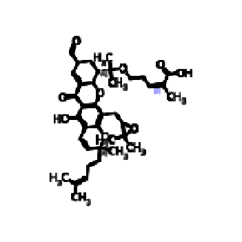 CC(C)=CCC[C@]1(C)C=Cc2c(O)c3c(c(CC4OC4(C)C)c2O1)OC1C(=CC(C=O)C[C@@H]1C(C)(C)OCC/C=C(/C)C(=O)O)C3=O